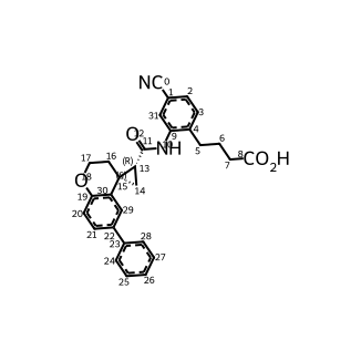 N#Cc1ccc(CCCC(=O)O)c(NC(=O)[C@@H]2C[C@]23CCOc2ccc(-c4ccccc4)cc23)c1